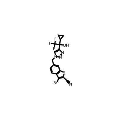 N#Cc1sc2cc(Cn3cc(C(O)(C4CC4)C(F)(F)F)nn3)ccc2c1Br